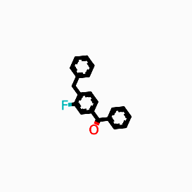 O=C(c1ccccc1)c1ccc(Cc2ccccc2)c(F)c1